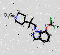 CC(C)(Cn1ncc2cccc(OC(F)F)c21)C1CCN(C(=O)O)CC1